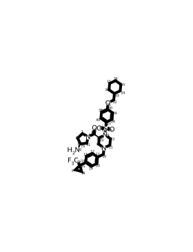 N[C@H]1CCN(C(=O)[C@@H]2CN(Cc3ccc(C4(C(F)(F)F)CC4)cc3)CCN2S(=O)(=O)c2ccc(OCC3CCCCC3)cc2)C1